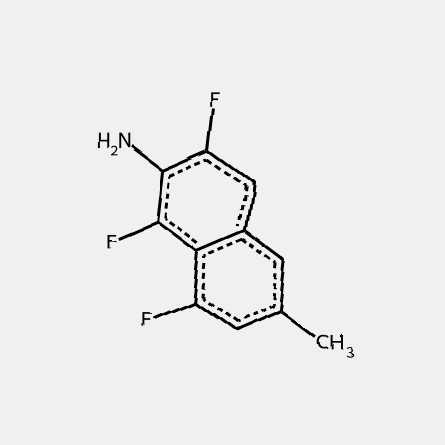 Cc1cc(F)c2c(F)c(N)c(F)cc2c1